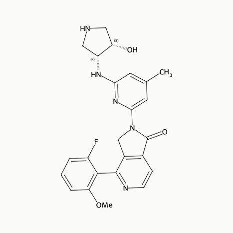 COc1cccc(F)c1-c1nccc2c1CN(c1cc(C)cc(N[C@@H]3CNC[C@@H]3O)n1)C2=O